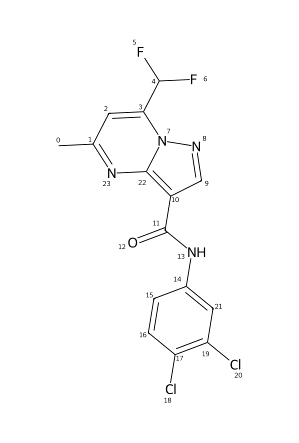 Cc1cc(C(F)F)n2ncc(C(=O)Nc3ccc(Cl)c(Cl)c3)c2n1